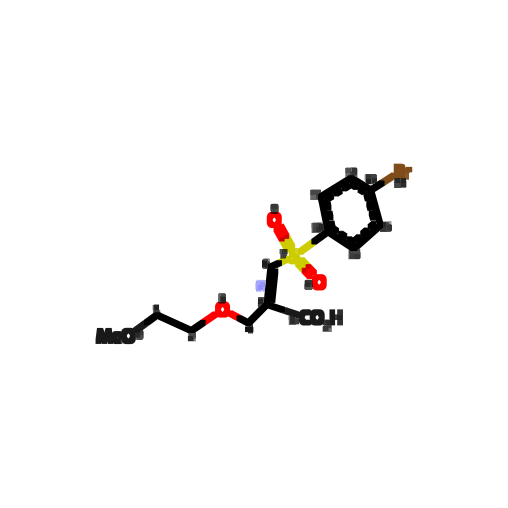 COCCOC/C(=C/S(=O)(=O)c1ccc(Br)cc1)C(=O)O